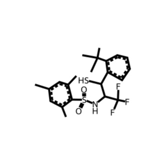 Cc1cc(C)c(S(=O)(=O)NC(C(S)c2ccccc2C(C)(C)C)C(F)(F)F)c(C)c1